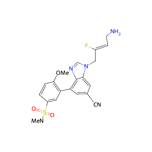 CNS(=O)(=O)c1ccc(OC)c(-c2cc(C#N)cc3c2ncn3C/C(F)=C/CN)c1